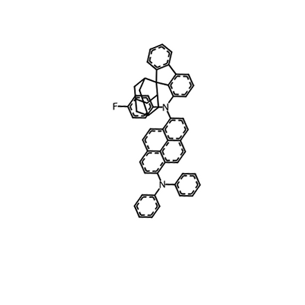 Fc1ccc(N(c2cccc3c2C2(c4ccccc4-3)C3CC4CC(C3)CC2C4)c2ccc3ccc4c(N(c5ccccc5)c5ccccc5)ccc5ccc2c3c54)cc1